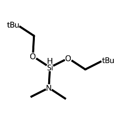 CN(C)[SiH](OCC(C)(C)C)OCC(C)(C)C